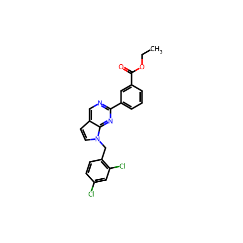 CCOC(=O)c1cccc(-c2ncc3ccn(Cc4ccc(Cl)cc4Cl)c3n2)c1